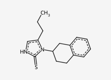 CCCc1c[nH]c(=S)n1C1CCc2ccccc2C1